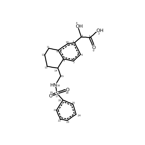 O=C(O)C(O)c1ccc2c(c1)CCCC2CNS(=O)(=O)c1ccccc1